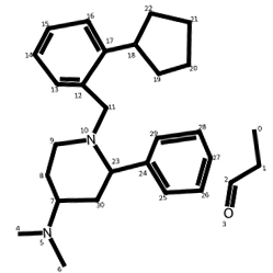 CCC=O.CN(C)C1CCN(Cc2ccccc2C2CCCC2)C(c2ccccc2)C1